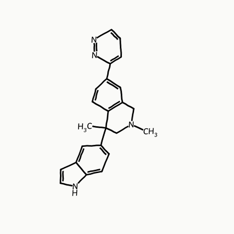 CN1Cc2cc(-c3cccnn3)ccc2C(C)(c2ccc3[nH]ccc3c2)C1